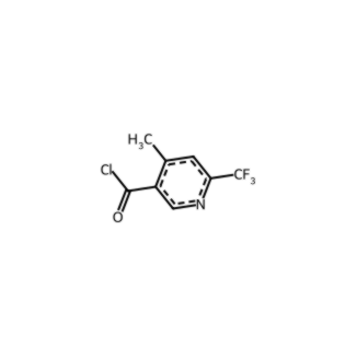 Cc1cc(C(F)(F)F)ncc1C(=O)Cl